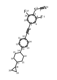 N#CSc1c(F)cc(C#Cc2ccc(C3CCC(C4CC4)CC3)cc2)cc1F